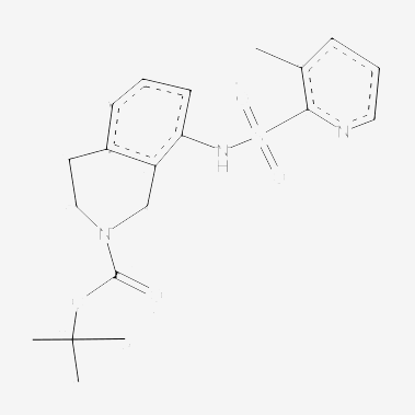 Cc1cccnc1S(=O)(=O)Nc1cccc2c1CN(C(=O)OC(C)(C)C)CC2